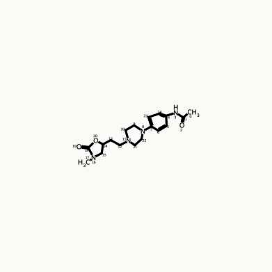 CC(=O)Nc1ccc(N2CCN(CCC3CN(C)C(=O)O3)CC2)cc1